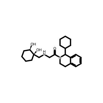 O=C(CNC[C@]1(O)CCCC[C@H]1O)N1CCc2ccccc2C1C1CCCCC1